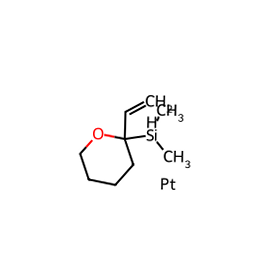 C=CC1([SiH](C)C)CCCCO1.[Pt]